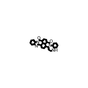 O=c1c2ccc3c(=O)n4c5ccccc5nc4c4ccc(c5n1-c1ccccc1NCC=5)c2c34